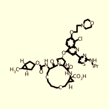 CC(C)Nc1nc(-c2cc(O[C@@H]3C[C@H]4C(=O)N[C@]5(C(=O)O)C[C@H]5CCCCCCCC(NC(=O)O[C@@H]5C[C@@H]6[C@H](C)[C@@H]6C5)C(=O)N4C3)c3ccc(OCCN4CCOCC4)c(Cl)c3n2)cs1